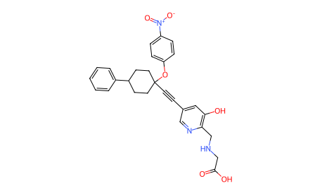 O=C(O)CNCc1ncc(C#CC2(Oc3ccc([N+](=O)[O-])cc3)CCC(c3ccccc3)CC2)cc1O